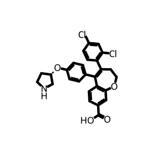 O=C(O)c1ccc2c(c1)OCCC(c1ccc(Cl)cc1Cl)=C2c1ccc(O[C@H]2CCNC2)cc1